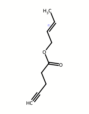 C#CCCC(=O)OC/C=C/C